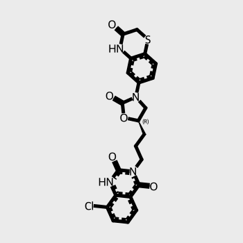 O=C1CSc2ccc(N3C[C@@H](CCCn4c(=O)[nH]c5c(Cl)cccc5c4=O)OC3=O)cc2N1